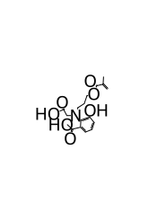 C=C(C)C(=O)OCC(O)CN(CC(=O)O)c1ccccc1C(=O)O